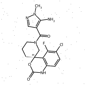 Cn1ncc(C(=O)N2CCC[C@@]3(C2)OC(=O)Nc2ccc(Cl)c(F)c23)c1N